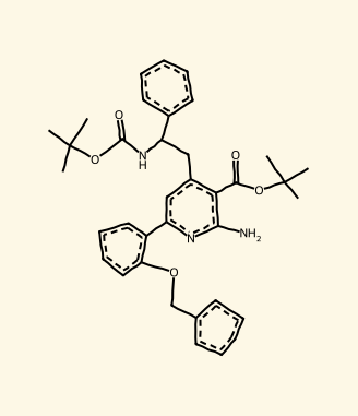 CC(C)(C)OC(=O)NC(Cc1cc(-c2ccccc2OCc2ccccc2)nc(N)c1C(=O)OC(C)(C)C)c1ccccc1